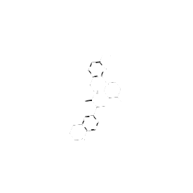 CC1CCN(c2nc(C(F)(F)F)ccc2CNC(=O)C(C)c2ccc3c(c2)CCCN3)CC1